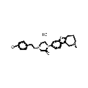 CN1CCCc2oc3cc(N4CCN(CCc5ccc(Cl)cc5)CC4=O)ccc3c2C1.Cl